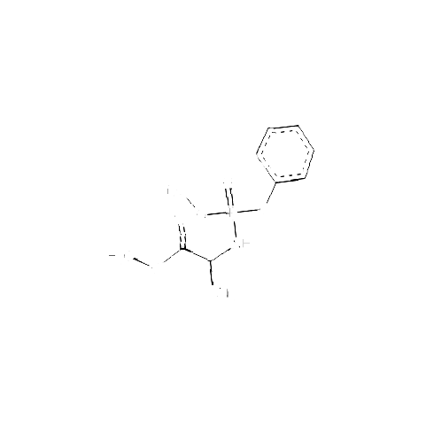 COC(=O)C(C)NP(=O)(OC)Oc1ccccc1